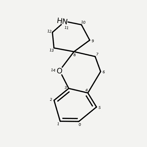 c1ccc2c(c1)CCC1(CCNCC1)O2